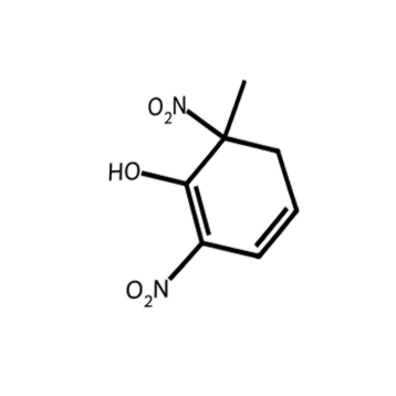 CC1([N+](=O)[O-])CC=CC([N+](=O)[O-])=C1O